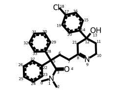 CN(C)C(=O)C(CCC1=NCCC(O)(c2ccc(Cl)cc2)C1)(c1ccccc1)c1ccccc1